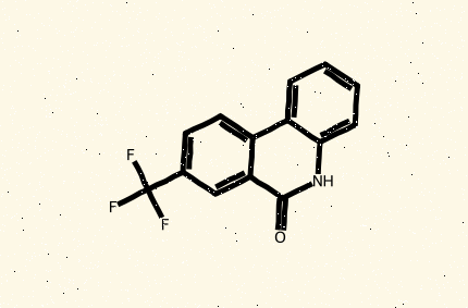 O=c1[nH]c2ccccc2c2ccc(C(F)(F)F)cc12